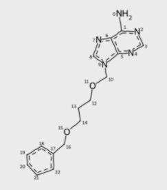 Nc1ncnc2c1ncn2COCCCOCc1ccccc1